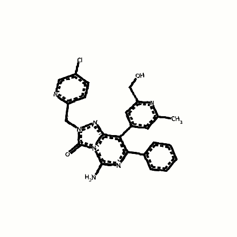 Cc1cc(-c2c(-c3ccccc3)nc(N)n3c(=O)n(Cc4ccc(Cl)cn4)nc23)cc(CO)n1